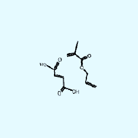 C=CCOC(=O)C(=C)C.O=C(O)C=CC(=O)O